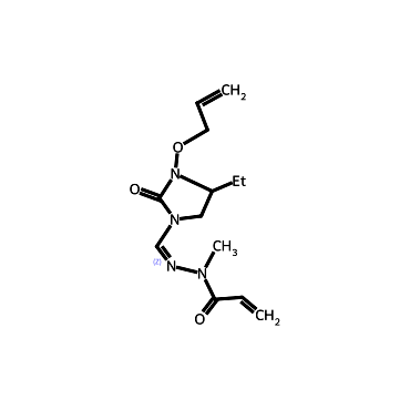 C=CCON1C(=O)N(/C=N\N(C)C(=O)C=C)CC1CC